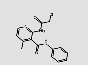 Cc1ccnc(NC(=O)CCl)c1C(=O)Nc1ccccc1